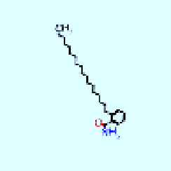 CCCCCCCCCCCCCCCCCCc1ccccc1C(N)=O